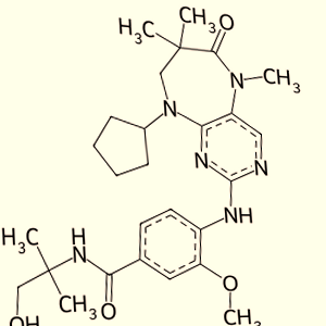 COc1cc(C(=O)NC(C)(C)CO)ccc1Nc1ncc2c(n1)N(C1CCCC1)CC(C)(C)C(=O)N2C